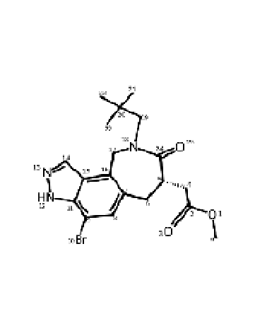 COC(=O)C[C@@H]1Cc2cc(Br)c3[nH]ncc3c2CN(CC(C)(C)C)C1=O